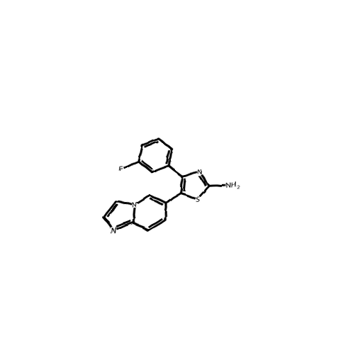 Nc1nc(-c2cccc(F)c2)c(-c2ccc3nccn3c2)s1